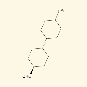 CCCC1CCC([C@H]2CC[C@H](C=O)CC2)CC1